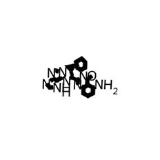 Nc1cccc2nc([C@@H](Nc3ncnc4nc[nH]c34)C3=CC3)n(-c3ccccc3)c(=O)c12